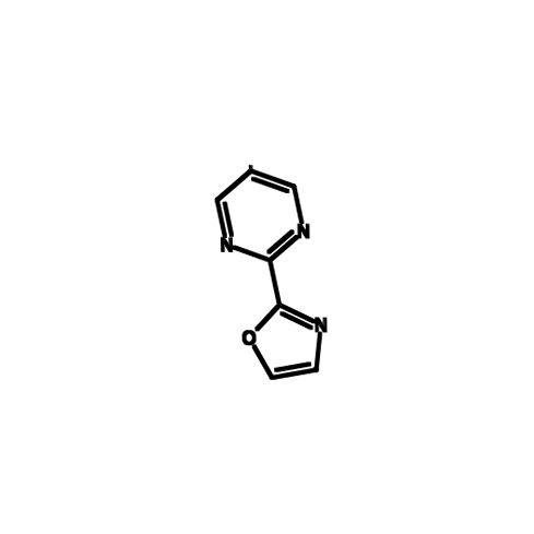 [c]1cnc(-c2ncco2)nc1